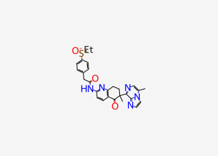 CC[S+]([O-])c1ccc(CC(=O)Nc2ccc3c(n2)CCC(C)(c2ncc(C)n4ccnc24)C3=O)cc1